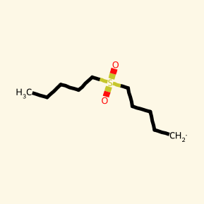 [CH2]CCCCS(=O)(=O)CCCCC